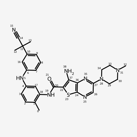 Cc1ccc(Nc2cccc(C(C)(C)C#N)c2)cc1NC(=O)c1sc2ncc(N3CCN(C)CC3)nc2c1N